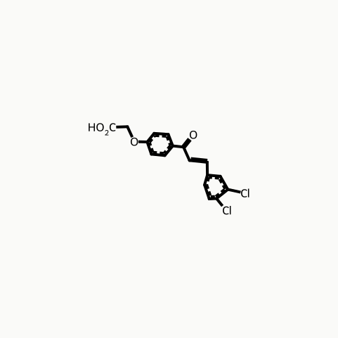 O=C(O)COc1ccc(C(=O)C=Cc2ccc(Cl)c(Cl)c2)cc1